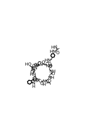 CC[C@H](C)[C@@H]1NC(=O)CNC(=O)[C@@H](Cc2c(SC)[nH]c3ccccc23)NC(=O)[C@H]([C@@H](C)[C@@H](O)CO)NC(=O)[C@@H]2CCCN2C(=O)[C@H](CC(=O)NCc2ccc(NC(=O)[C@H](C)NC)cc2)NC(=O)CNC(=O)CNC1=O